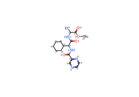 CCC(NC(=O)C(NC(=O)c1cnccn1)C1CCCCC1)C(=O)OC(C)(C)C